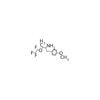 COc1ccc(CC(N)C(C)OC(F)C(F)F)cc1